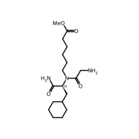 COC(=O)CCCCCN(C(=O)CN)[C@@H](CC1CCCCC1)C(N)=O